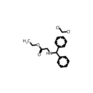 CCOC(=O)CNC(c1ccccc1)c1ccccc1.ClCCl